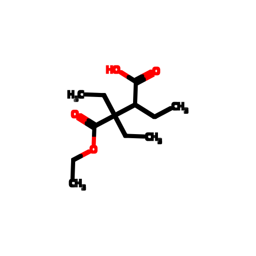 CCOC(=O)C(CC)(CC)C(CC)C(=O)O